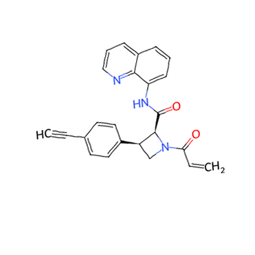 C#Cc1ccc([C@@H]2CN(C(=O)C=C)[C@@H]2C(=O)Nc2cccc3cccnc23)cc1